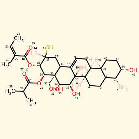 B[C@@H]1C2CC[C@]3(B)C(CC=C4C5C[C@@](B)(S)[C@@H](OC(=O)/C(C)=C\C)[C@H](OC(=O)C(C)C)[C@]5(CO)[C@H](O)[C@H](O)[C@]43B)[C@@]2(B)CC[C@@H]1O